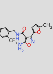 Cc1ccc(-c2noc(N)c2C(=O)NCc2ccccc2C(F)(F)F)o1